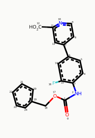 O=C(Nc1ccc(-c2ccnc(C(=O)O)c2)cc1F)OCc1ccccc1